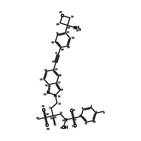 Cc1ccc(S(=O)(=O)N(O)C[C@@](C)(CCn2cc3cc(C#Cc4ccc(C5(N)COC5)cc4)ccc3n2)S(C)(=O)=O)cc1